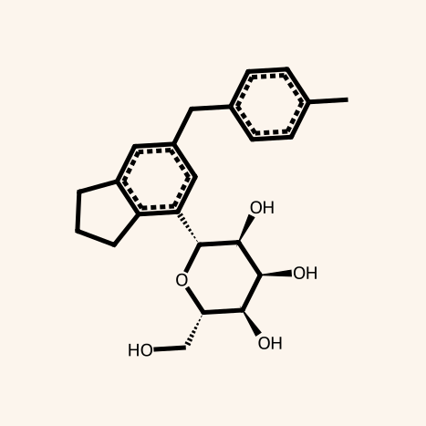 Cc1ccc(Cc2cc3c(c([C@H]4O[C@@H](CO)[C@H](O)[C@H](O)[C@@H]4O)c2)CCC3)cc1